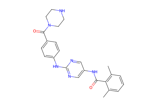 Cc1cccc(C)c1C(=O)Nc1cnc(Nc2ccc(C(=O)N3CCNCC3)cc2)nc1